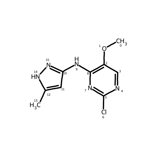 COc1cnc(Cl)nc1Nc1cc(C)[nH]n1